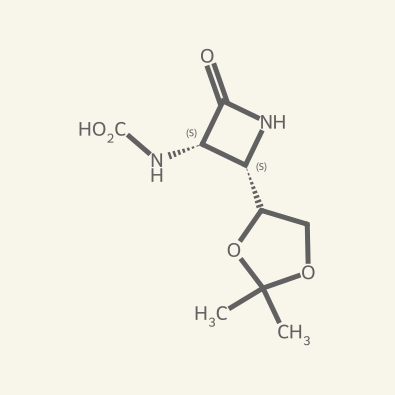 CC1(C)OCC([C@H]2NC(=O)[C@H]2NC(=O)O)O1